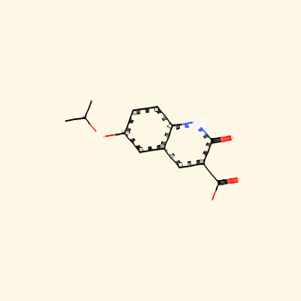 CC(C)Oc1ccc2[nH]c(=O)c(C(=O)O)cc2c1